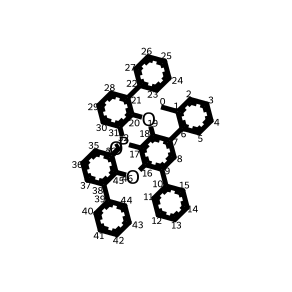 Cc1ccccc1-c1cc(-c2ccccc2)c2c3c1Oc1c(-c4ccccc4)cccc1P3(=O)c1cccc(-c3ccccc3)c1O2